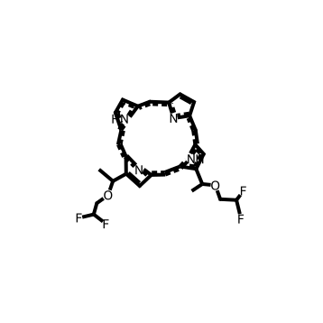 CC(OCC(F)F)C1=Cc2cc3[nH]c(cc4nc(cc5ccc(cc1n2)[nH]5)C=C4)cc3C(C)OCC(F)F